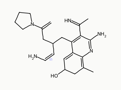 C=C(CC(/C=C\N)Cc1c(C(C)=N)c(N)nc2c1=CC(O)CC=2C)N1CCCC1